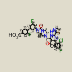 COC(=O)C1=C(CN2CCN3C(=O)N(c4cc(F)cc(-c5ccc(C(=O)O)cc5F)c4)C[C@@H]3C2)NC(c2nccs2)=N[C@H]1c1ccc(F)cc1Cl